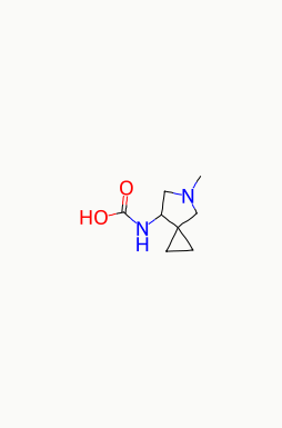 CN1CC(NC(=O)O)C2(CC2)C1